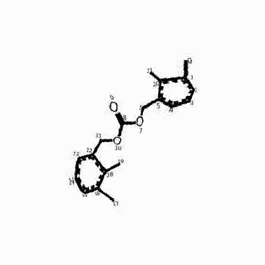 Cc1cccc(COC(=O)OCc2cccc(C)c2C)c1C